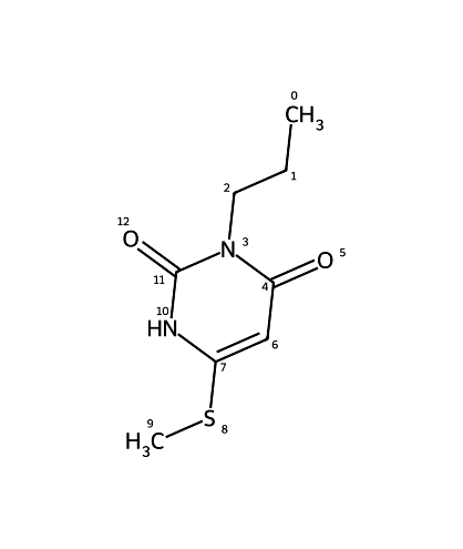 CCCn1c(=O)cc(SC)[nH]c1=O